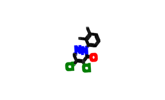 Cc1cccc(-n2ncc(Cl)c(Cl)c2=O)c1C